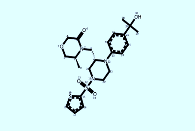 C[C@H]1COCC(=O)N1C[C@H]1CN(S(=O)(=O)c2cccs2)CCN1c1ccc(C(C)(C)O)cc1